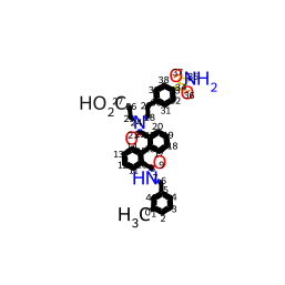 Cc1cccc(CNC(=O)c2ccccc2-c2ccccc2C(=O)N(CCC(=O)O)CCc2ccc(S(N)(=O)=O)cc2)c1